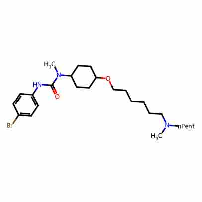 CCCCCN(C)CCCCCCOC1CCC(N(C)C(=O)Nc2ccc(Br)cc2)CC1